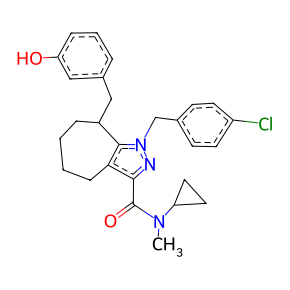 CN(C(=O)c1nn(Cc2ccc(Cl)cc2)c2c1CCCCC2Cc1cccc(O)c1)C1CC1